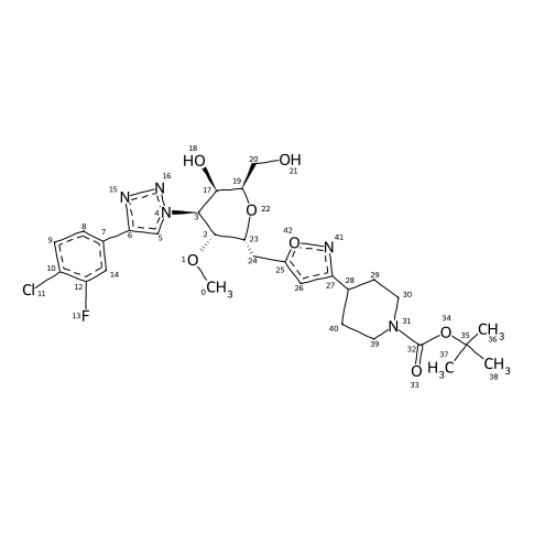 CO[C@@H]1[C@@H](n2cc(-c3ccc(Cl)c(F)c3)nn2)[C@@H](O)[C@@H](CO)O[C@@H]1Cc1cc(C2CCN(C(=O)OC(C)(C)C)CC2)no1